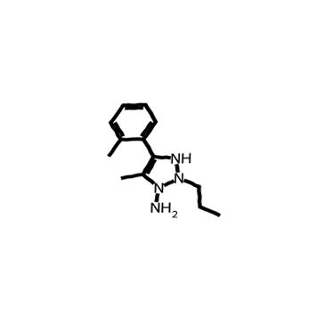 CCCN1NC(c2ccccc2C)=C(C)N1N